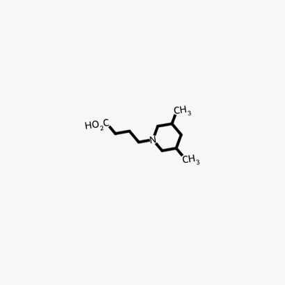 CC1CC(C)CN(CCCC(=O)O)C1